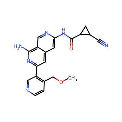 COCc1ccncc1-c1cc2cc(NC(=O)C3CC3C#N)ncc2c(N)n1